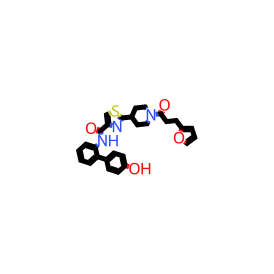 O=C(Nc1ccccc1-c1ccc(O)cc1)c1csc(C2CCN(C(=O)CCc3ccco3)CC2)n1